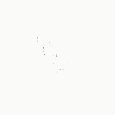 CC1(Cc2ccccc2Cl)C=CC(S(=O)(=O)O)C(Br)=C1